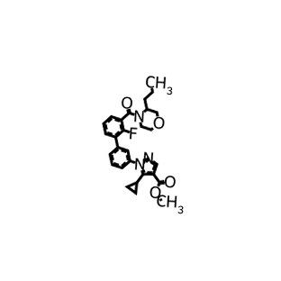 CCCC1COCCN1C(=O)c1cccc(-c2cccc(-n3ncc(C(=O)OC)c3C3CC3)c2)c1F